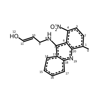 Cc1ccc([N+](=O)[O-])c2c(NCC=CO)c3ccccc3nc12